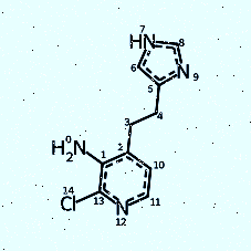 Nc1c(CCc2c[nH]cn2)ccnc1Cl